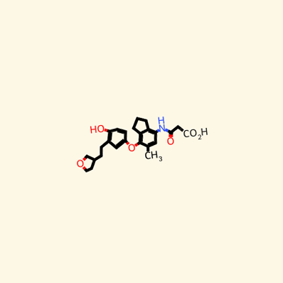 Cc1cc(NC(=O)CC(=O)O)c2c(c1Oc1ccc(O)c(CCC3CCOC3)c1)CCC2